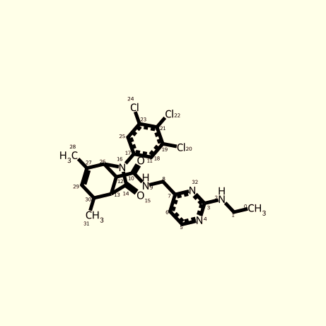 CCNc1nccc(CNC(=O)C2C3C(=O)N(c4cc(Cl)c(Cl)c(Cl)c4)C2C(C)=CC3C)n1